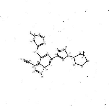 Cc1cccc(Sc2cc(-c3cnn(C4CCCNC4)c3)cn3ncc(C#N)c23)n1